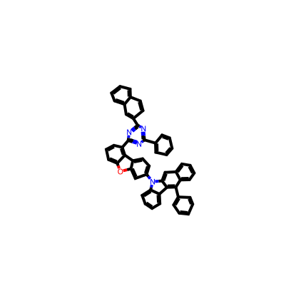 c1ccc(-c2nc(-c3ccc4ccccc4c3)nc(-c3cccc4oc5cc(-n6c7ccccc7c7c(-c8ccccc8)c8ccccc8cc76)ccc5c34)n2)cc1